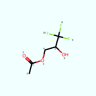 CC(=O)OCC(O)C(F)(F)F